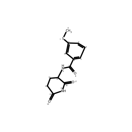 CSc1cccc(C(=O)NC2CCC(=O)NC2=O)c1